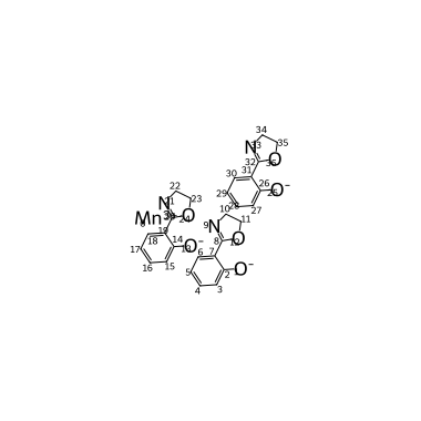 [Mn+3].[O-]c1ccccc1C1=NCCO1.[O-]c1ccccc1C1=NCCO1.[O-]c1ccccc1C1=NCCO1